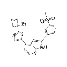 CS(=O)(=O)c1cccc(-c2cc3c(-c4cnc(C5(O)CCC5)s4)ccnc3[nH]2)c1